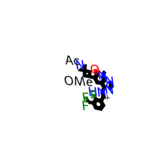 COC1(c2cc3c(N[C@H](C)c4cccc(C(F)F)c4F)ncnc3n(C)c2=O)CC2(CN(C(C)=O)C2)C1